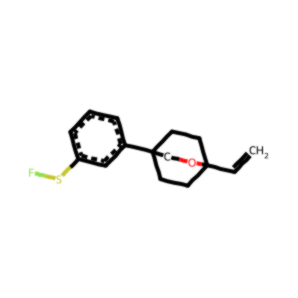 C=CC12CCC(c3cccc(SF)c3)(CC1)CO2